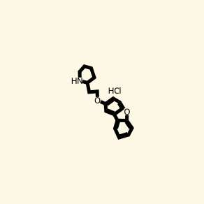 Cl.c1ccc2c(c1)oc1ccc(OCCC3CCCCN3)cc12